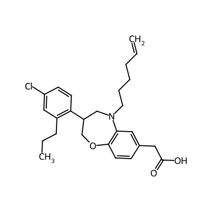 C=CCCCCN1CC(c2ccc(Cl)cc2CCC)COc2ccc(CC(=O)O)cc21